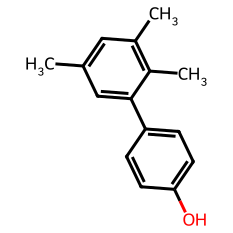 Cc1cc(C)c(C)c(-c2ccc(O)cc2)c1